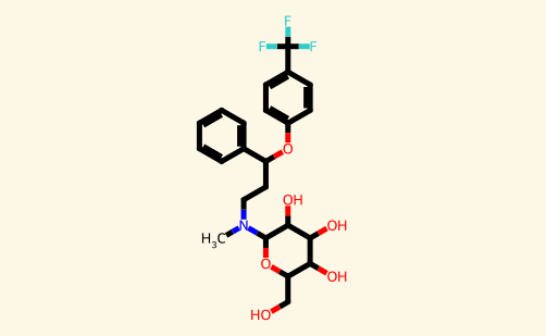 CN(CCC(Oc1ccc(C(F)(F)F)cc1)c1ccccc1)C1OC(CO)C(O)C(O)C1O